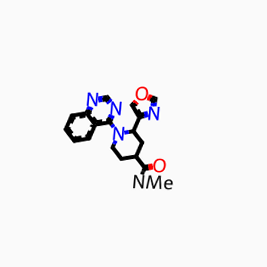 CNC(=O)C1CCN(c2ncnc3ccccc23)C(c2cocn2)C1